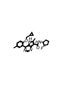 Cc1ccc(OCC2CC2)c(-c2ncnc3c(C(=O)N[C@@H]4CCC[C@@H]4F)c(C)[nH]c23)c1